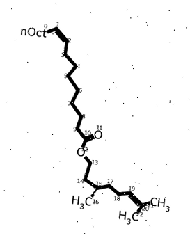 CCCCCCCC/C=C\CCCCCCCC(=O)OCC[C@H](C)CCC=C(C)C